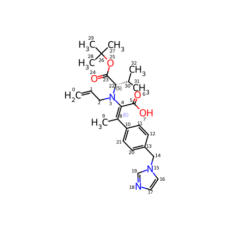 C=CCN(/C(C(=O)O)=C(\C)c1ccc(Cn2ccnc2)cc1)[C@H](C(=O)OC(C)(C)C)C(C)C